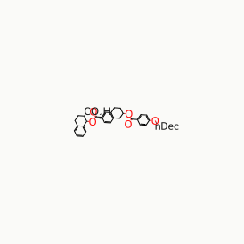 CCCCCCCCCCOc1ccc(C(=O)OC2CCc3cc(C(=O)OC4c5ccccc5CCC4C(=O)O)ccc3C2)cc1